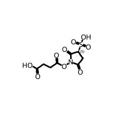 O=C(O)CCC(=O)ON1C(=O)C[C@H](S(=O)(=O)O)C1=O